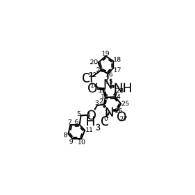 Cn1c(COCc2ccccc2)c2c(=O)n(-c3ccccc3Cl)[nH]c2cc1=O